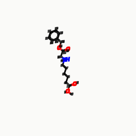 COC(=O)CCCCCNCC(=O)OCc1ccccc1